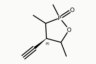 C#C[C@@H]1C(C)OP(C)(=O)C1C